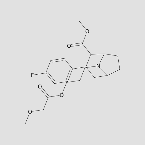 COCC(=O)OCCCN1C2CCC1C(C(=O)OC)C(c1ccc(F)cc1)C2